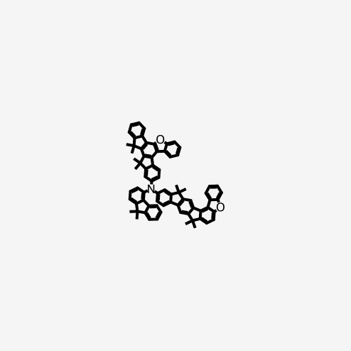 CC1(C)c2cc(N(c3ccc4c(c3)C(C)(C)c3c5c(c6oc7ccccc7c6c3-4)-c3ccccc3C5(C)C)c3cccc4c3-c3ccccc3C4(C)C)ccc2-c2cc3c(cc21)-c1c(ccc2oc4ccccc4c12)C3(C)C